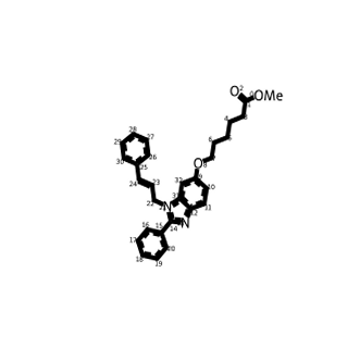 COC(=O)CCCCCOc1ccc2nc(-c3ccccc3)n(C/C=C/c3ccccc3)c2c1